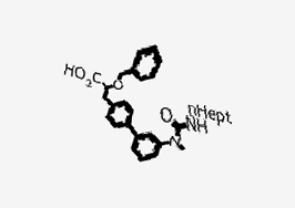 CCCCCCCNC(=O)N(C)c1cccc(-c2ccc(C[C@H](OCc3ccccc3)C(=O)O)cc2)c1